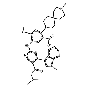 COc1cc(N2CCC3(CCN(C)CC3)CC2)c([N+](=O)[O-])cc1Nc1ncc(C(=O)OC(C)C)c(-c2cn(C)c3ccccc23)n1